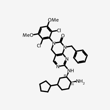 COc1cc(OC)c(Cl)c(N2Cc3cnc(N[C@@H]4CC(C5CCCC5)CC[C@@H]4N)nc3N(Cc3ccccc3)C2=O)c1Cl